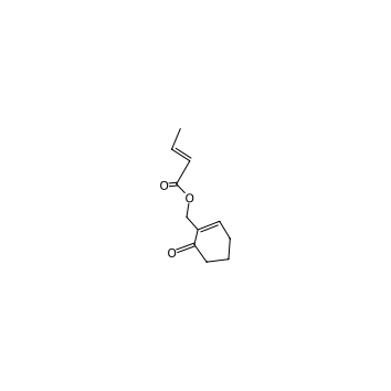 C/C=C/C(=O)OCC1=CCCCC1=O